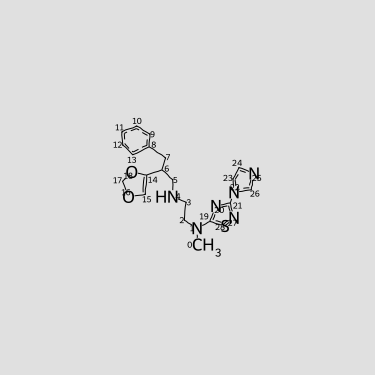 CN(CCNCC(Cc1ccccc1)C1=COCO1)c1nc(-n2ccnc2)ns1